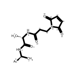 CC(=O)[C@H](C)NC(=O)[C@H](C)NC(=O)CCN1C(=O)C=CC1=O